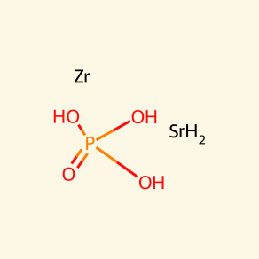 O=P(O)(O)O.[SrH2].[Zr]